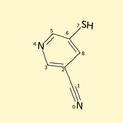 N#Cc1cncc(S)c1